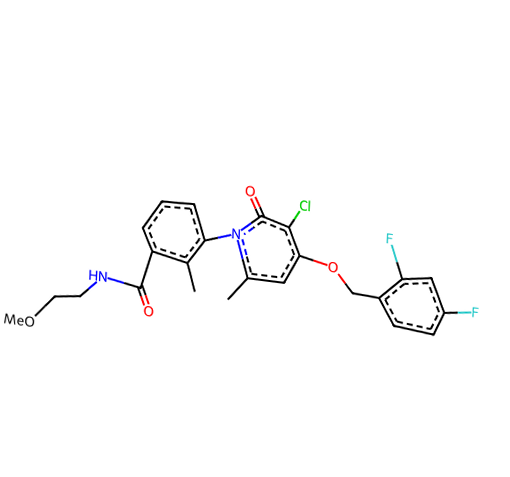 COCCNC(=O)c1cccc(-n2c(C)cc(OCc3ccc(F)cc3F)c(Cl)c2=O)c1C